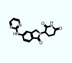 O=C1CCC(N2Cc3cc(Nc4ncccn4)ccc3C2=O)C(=O)N1